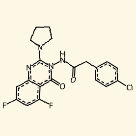 O=C(Cc1ccc(Cl)cc1)Nn1c(N2CCCC2)nc2cc(F)cc(F)c2c1=O